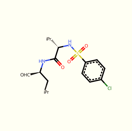 CC(C)C[C@@H](C=O)NC(=O)[C@@H](NS(=O)(=O)c1ccc(Cl)cc1)C(C)C